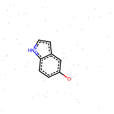 [O]c1ccc2[nH]ccc2c1